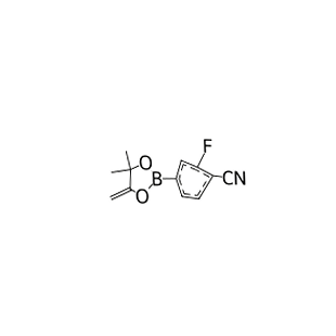 C=C1OB(c2ccc(C#N)c(F)c2)OC1(C)C